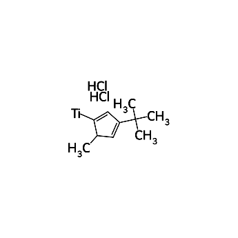 CC1C=C(C(C)(C)C)C=[C]1[Ti].Cl.Cl